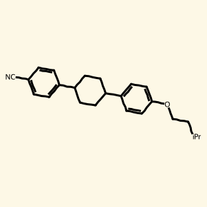 CC(C)CCOc1ccc(C2CCC(c3ccc(C#N)cc3)CC2)cc1